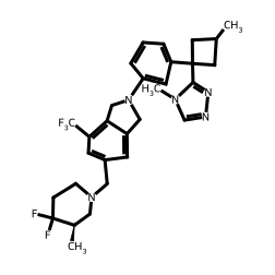 CC1CC(c2cccc(N3Cc4cc(CN5CCC(F)(F)[C@H](C)C5)cc(C(F)(F)F)c4C3)c2)(c2nncn2C)C1